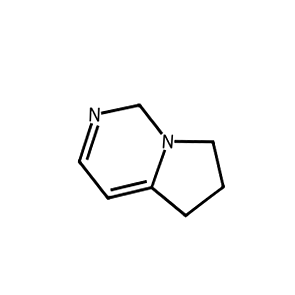 C1=NCN2CCCC2=C1